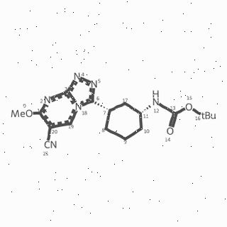 COc1nc2nnc([C@H]3CCC[C@@H](NC(=O)OC(C)(C)C)C3)n2cc1C#N